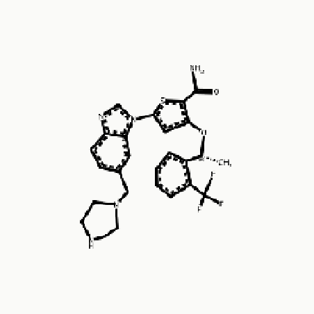 C[C@@H](Oc1cc(-n2cnc3ccc(CN4CCNCC4)cc32)sc1C(N)=O)c1ccccc1C(F)(F)F